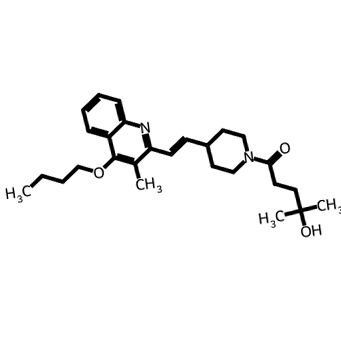 CCCCOc1c(C)c(/C=C/C2CCN(C(=O)CCC(C)(C)O)CC2)nc2ccccc12